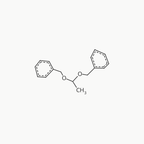 CC(OCc1ccccc1)OCc1ccccc1